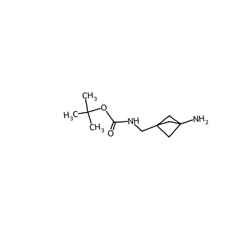 CC(C)(C)OC(=O)NCC12CC(N)(C1)C2